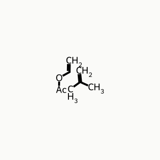 C=C(C)C.C=COC(C)=O